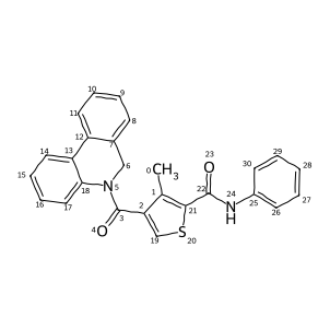 Cc1c(C(=O)N2Cc3ccccc3-c3ccccc32)csc1C(=O)Nc1ccccc1